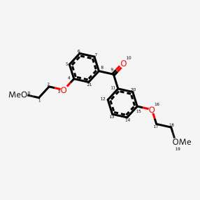 COCCOc1cccc(C(=O)c2cccc(OCCOC)c2)c1